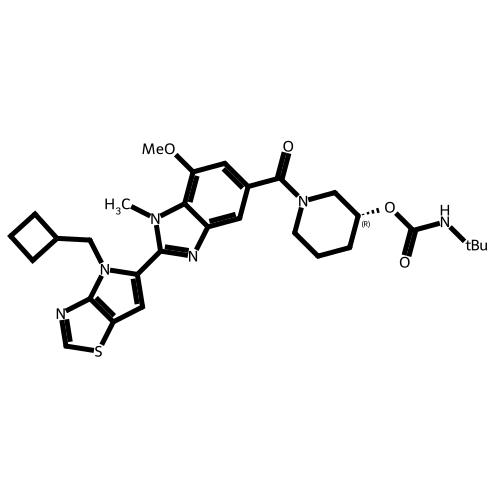 COc1cc(C(=O)N2CCC[C@@H](OC(=O)NC(C)(C)C)C2)cc2nc(-c3cc4scnc4n3CC3CCC3)n(C)c12